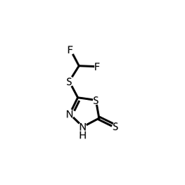 FC(F)Sc1n[nH]c(=S)s1